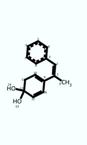 CC(=Cc1ccccc1)C1=CCC(O)(O)C=C1